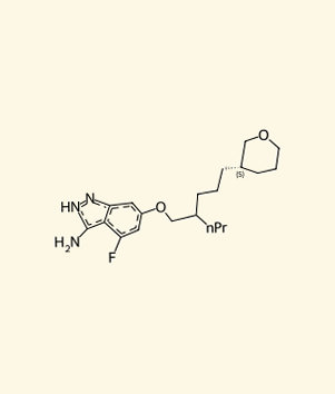 CCCC(CCC[C@H]1CCCOC1)COc1cc(F)c2c(N)[nH]nc2c1